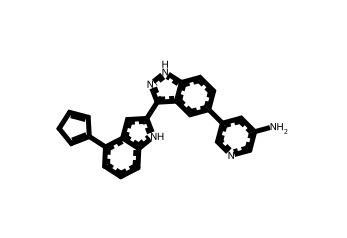 Nc1cncc(-c2ccc3[nH]nc(-c4cc5c(C6=CCC=C6)cccc5[nH]4)c3c2)c1